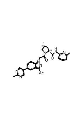 CC(=O)c1nn(CC(=O)N2C[C@H](C)C[C@H]2C(=O)Nc2cccc(C)n2)c2ccc(-c3cnc(C)nc3)cc12